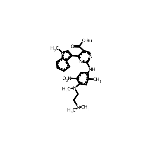 Cc1cc(N(C)CCN(C)C)c([N+](=O)[O-])cc1Nc1ncc(C(=O)OCC(C)C)c(-c2cn(C)c3ccccc23)n1